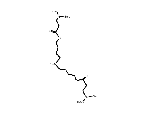 CCCCCCCCCCN(CCCCCCCCCC)CCC(=O)OCCCCN(C)CCCCOC(=O)CCN(CCCCCCCCCC)CCCCCCCCCC